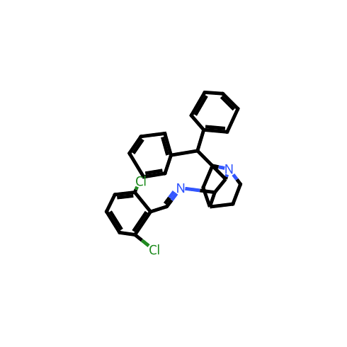 Clc1cccc(Cl)c1C=NC1C2CCN(CC2)C1C(c1ccccc1)c1ccccc1